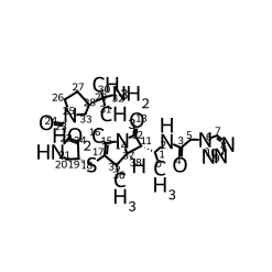 CC(NC(=O)Cn1cnnn1)[C@H]1C(=O)N2C(C(=O)O)=C(S[C@@H]3CN[C@H](C(=O)N4CC[C@@H](C(C)(C)N)C4)C3)[C@H](C)[C@H]12